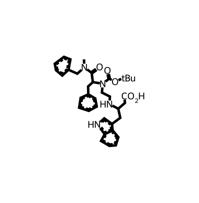 CN(Cc1ccccc1)C(=O)C(Cc1ccccc1)N(CCNC(CC(=O)O)Cc1c[nH]c2ccccc12)C(=O)OC(C)(C)C